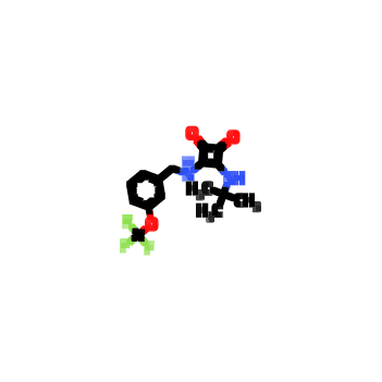 CC(C)(C)Nc1c(NCc2cccc(OC(F)(F)F)c2)c(=O)c1=O